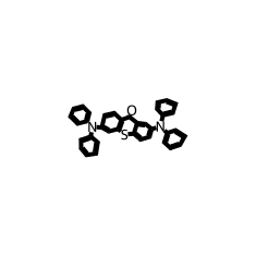 O=c1c2ccc(N(c3ccccc3)c3ccccc3)cc2sc2ccc(N(c3ccccc3)c3ccccc3)cc12